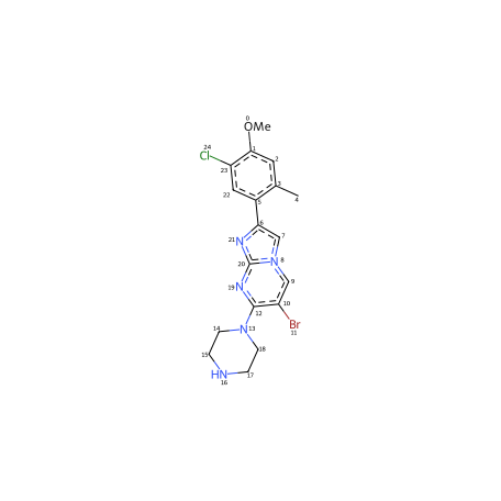 COc1cc(C)c(-c2cn3cc(Br)c(N4CCNCC4)nc3n2)cc1Cl